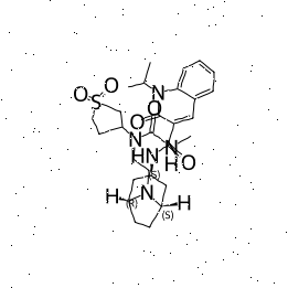 CNC(=O)N(CCN1[C@@H]2CC[C@H]1C[C@H](NC(=O)c1cc3ccccc3n(C(C)C)c1=O)C2)C1CCS(=O)(=O)C1